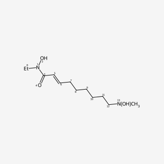 CCN(O)C(=O)/C=C/CCCCCCN(C)O